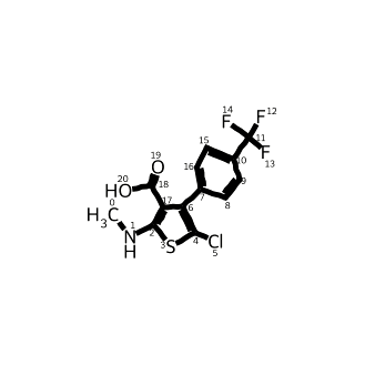 CNc1sc(Cl)c(-c2ccc(C(F)(F)F)cc2)c1C(=O)O